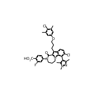 Cc1cc(OCCCc2c3n(c4c(-c5c(C)nn(C)c5C)c(Cl)ccc24)CCCN(c2ccc(C(=O)O)c(F)c2)C3=O)cc(C)c1Cl